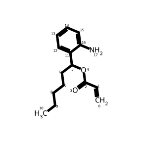 C=CC(=O)OC(CCCCC)c1ccccc1N